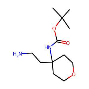 CC(C)(C)OC(=O)NC1(CCN)CCOCC1